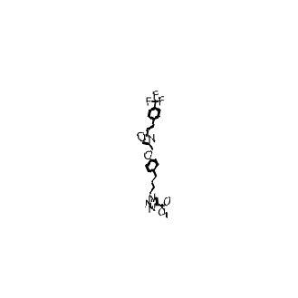 CCOC(=O)c1cn(CCCCc2ccc(OCc3coc(C=Cc4ccc(C(F)(F)F)cc4)n3)cc2)nn1